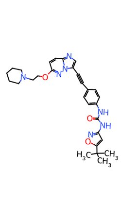 CC(C)(C)c1cc(NC(=O)Nc2ccc(C#Cc3cnc4ccc(OCCN5CCCCC5)nn34)cc2)no1